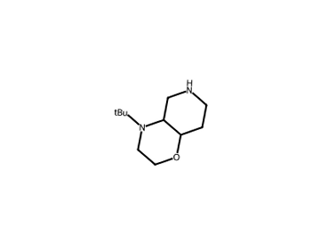 CC(C)(C)N1CCOC2CCNCC21